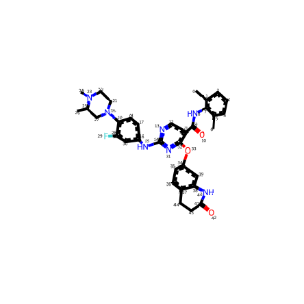 Cc1cccc(C)c1NC(=O)c1cnc(Nc2ccc(N3CCN(C)C(C)C3)c(F)c2)nc1Oc1ccc2c(c1)NC(=O)CC2